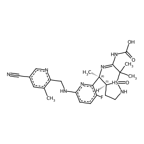 Cc1cc(C#N)cnc1CNc1ccc(F)c([C@@]2(C)N=C(NC(=O)O)C(C)(C)[SH]3(=O)NCC[C@@H]23)n1